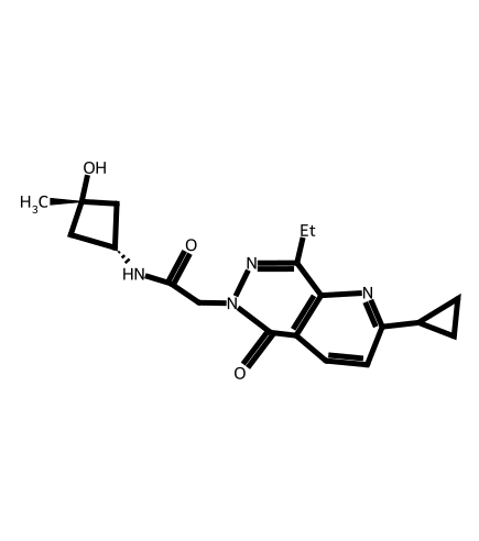 CCc1nn(CC(=O)N[C@H]2C[C@@](C)(O)C2)c(=O)c2ccc(C3CC3)nc12